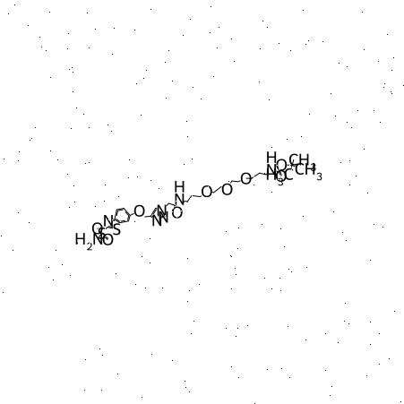 CC(C)(C)OC(=O)NCCCOCCOCCOCCCNC(=O)Cn1cc(COc2ccc3nc(S(N)(=O)=O)sc3c2)nn1